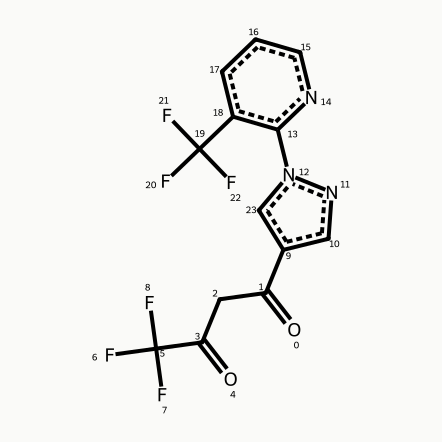 O=C(CC(=O)C(F)(F)F)c1cnn(-c2ncccc2C(F)(F)F)c1